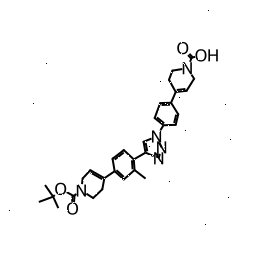 Cc1cc(C2=CCN(C(=O)OC(C)(C)C)CC2)ccc1-c1cn(-c2ccc(C3=CCN(C(=O)O)CC3)cc2)nn1